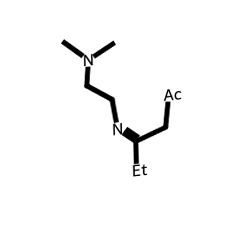 CCC(CC(C)=O)=NCCN(C)C